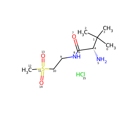 CC(C)(C)[C@H](N)C(=O)NCCS(C)(=O)=O.Cl